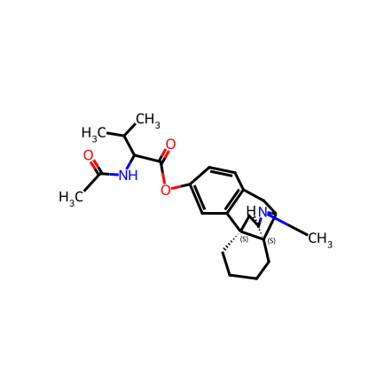 CC(=O)NC(C(=O)Oc1ccc2c(c1)[C@]13CCCC[C@@H]1C(C2)N(C)CC3)C(C)C